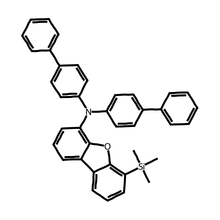 C[Si](C)(C)c1cccc2c1oc1c(N(c3ccc(-c4ccccc4)cc3)c3ccc(-c4ccccc4)cc3)cccc12